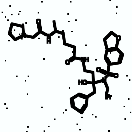 CC(C)CN(C(O)(CCNC(=O)CCCC(C)NC(=O)CN1CCCC1)Cc1ccccc1)S(=O)(=O)c1ccc2c(c1)CCO2